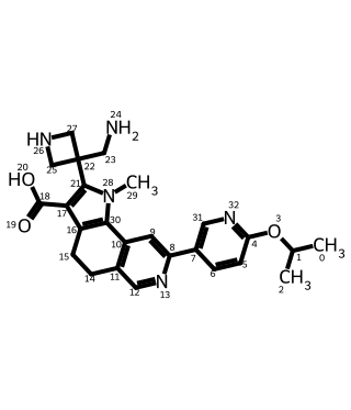 CC(C)Oc1ccc(-c2cc3c(cn2)CCc2c(C(=O)O)c(C4(CN)CNC4)n(C)c2-3)cn1